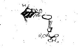 CC(=O)N(C)[C@@H]1CCN([C@H]2CCC[C@@H](NC(=O)c3cc4c(F)ccc(C)c4[nH]3)C2)C1